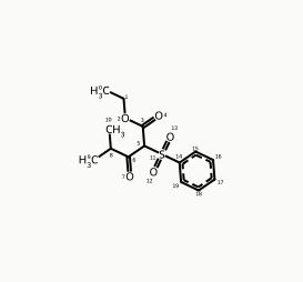 CCOC(=O)C(C(=O)C(C)C)S(=O)(=O)c1ccccc1